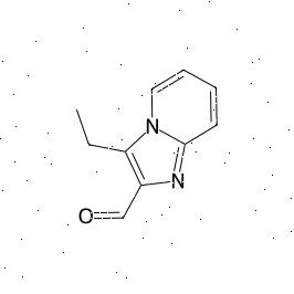 CCc1c(C=O)nc2ccccn12